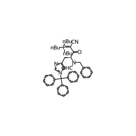 CCCCP(CCCC)(CCCC)=C(C#N)C(=O)[C@H](Cc1cn(C(c2ccccc2)(c2ccccc2)c2ccccc2)cn1)N(C=O)Cc1ccccc1